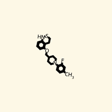 Cc1ccc(N2CCC(COc3cccc4c3CCSN4)CC2)c(F)c1